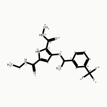 CCNC(=O)c1cc(OC(C)c2cccc(C(F)(F)F)c2)c(C(=O)NC)[nH]1